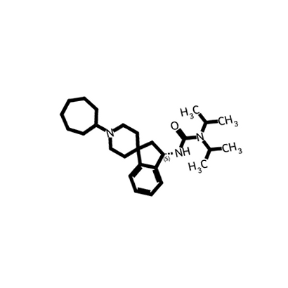 CC(C)N(C(=O)N[C@H]1CC2(CCN(C3CCCCCC3)CC2)c2ccccc21)C(C)C